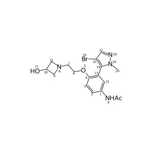 CC(=O)Nc1ccc(OCCN2CC(O)C2)c(-c2c(Br)cnn2C)c1